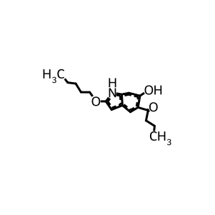 CCCCCOc1cc2cc(C(=O)CCC)c(O)cc2[nH]1